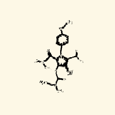 COc1ccc(-n2c(C(C)=O)c(O)c(OC(=O)N(C)C)c2C(=O)N(C)C)cc1